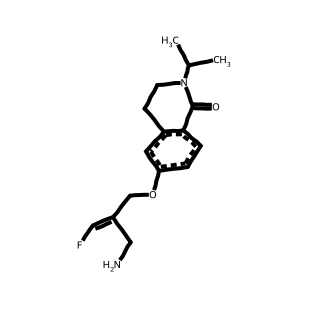 CC(C)N1CCc2cc(OC/C(=C/F)CN)ccc2C1=O